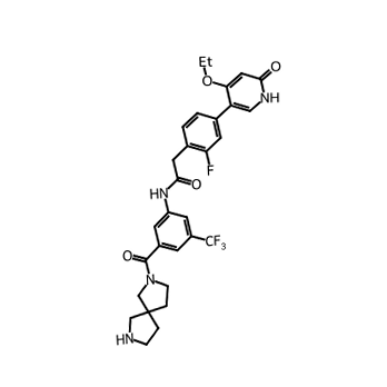 CCOc1cc(=O)[nH]cc1-c1ccc(CC(=O)Nc2cc(C(=O)N3CCC4(CCNC4)C3)cc(C(F)(F)F)c2)c(F)c1